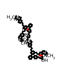 Cc1cn2ccc3cc(CCc4cc(CCc5ccc6c(ccn7c(-c8ccc(-c9ccc(-c%10ccccc%10-c%10cc(CCc%11ccc%12c(ccn%13cc(C)nc%12%13)c%11)cc(CCc%11ccc%12c(ccn%13cc(C)nc%12%13)c%11)c%10)c(O)c9)nc8)c(C)nc67)c5)cc(-c5ccccc5-c5ccc(-c6cc(O)ccn6)cc5)c4)ccc3c2n1